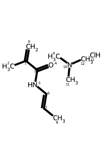 C=C(C)C(=O)NC=CC.CN(C)C.Cl